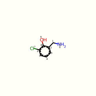 NCc1cccc(Cl)c1O